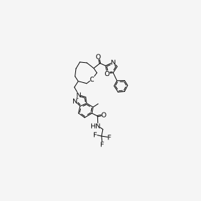 Cc1c(C(=O)NCC(F)(F)F)ccc2nn(CC3CCCCC(C(=O)c4ncc(-c5ccccc5)o4)CCC3)cc12